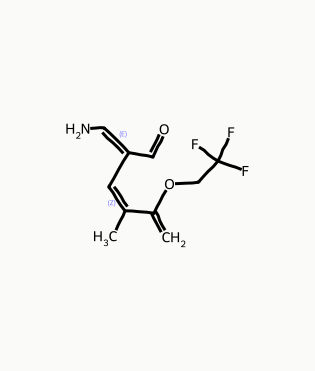 C=C(OCC(F)(F)F)/C(C)=C\C(C=O)=C/N